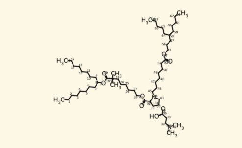 CCCCCCCCC(CCCCCCCC)OC(=O)C(C)(C)CCCCCCOC(=O)[C@@H]1C[C@@H](OC(O)CCN(C)C)CN1CCCCCCCC(=O)OCCCC(CCCCC)CCCCC